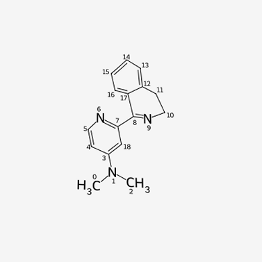 CN(C)c1ccnc(C2=NCCc3ccccc32)c1